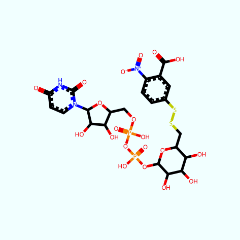 O=C(O)c1cc(SSCC2OC(OP(=O)(O)OP(=O)(O)OCC3OC(n4ccc(=O)[nH]c4=O)C(O)C3O)C(O)C(O)C2O)ccc1[N+](=O)[O-]